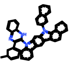 CC1C=CC=C(C2=C(n3c4ccccc4c4cc5c6ccc7ccccc7c6n(-c6ccc7ccccc7c6)c5cc43)NC3C=CC=CC3=N2)C1